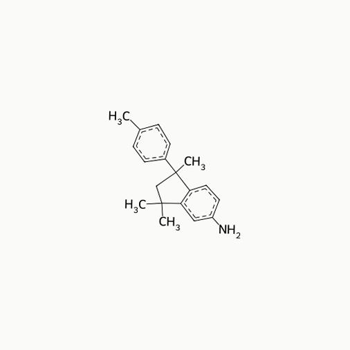 Cc1ccc(C2(C)CC(C)(C)c3cc(N)ccc32)cc1